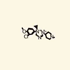 COc1ccc([N+]2(C3CC3)CN=C[N+](C)(C3CCN(C)CC3)C2)cc1Cl